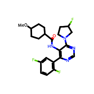 COC1CCC(C(=O)Nc2c(-c3cc(F)ccc3F)ncnc2N2CCC(F)C2)CC1